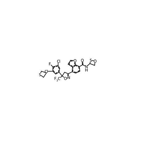 C1CSC1.O=C(NC1COS1)c1ccc(C2=NOC(c3cc(Cl)c(F)c(Cl)c3)(C(F)(F)F)C2)c2ccoc12